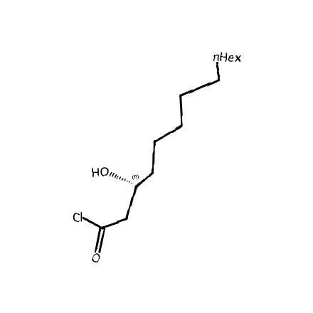 CCCCCCCCCCC[C@@H](O)CC(=O)Cl